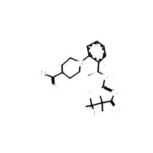 C[C@H](NC1=NC(=O)C(C)(C(F)(F)F)S1)c1ccccc1N1CCC(C(N)=O)CC1